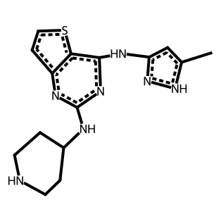 Cc1cc(Nc2nc(NC3CCNCC3)nc3ccsc23)n[nH]1